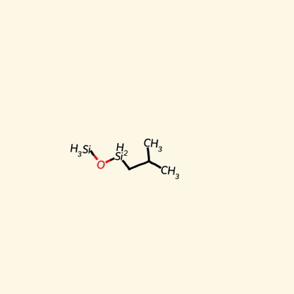 CC(C)C[SiH2]O[SiH3]